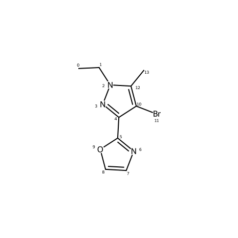 CCn1nc(-c2ncco2)c(Br)c1C